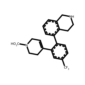 O=C(O)N1CC=C(c2cc(C(F)(F)F)ccc2-c2cccc3c2CCNC3)CC1